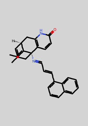 C/C=C1\[C@H]2C=C(C)C[C@]1(/N=C/C=C/c1cccc3ccccc13)c1ccc(=O)[nH]c1C2